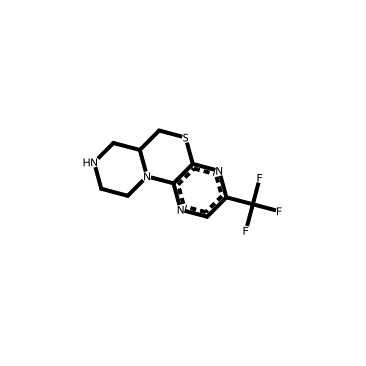 FC(F)(F)c1cnc2c(n1)SCC1CNCCN21